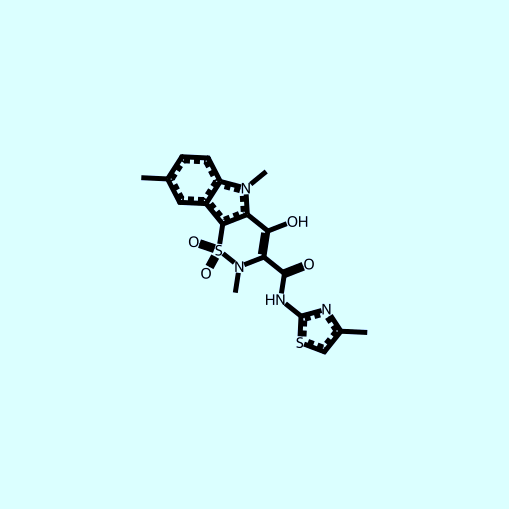 Cc1ccc2c(c1)c1c(n2C)C(O)=C(C(=O)Nc2nc(C)cs2)N(C)S1(=O)=O